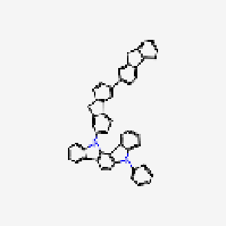 c1ccc(-n2c3ccccc3c3c2ccc2c4ccccc4n(-c4ccc5c(c4)Cc4ccc(-c6ccc7c(c6)Cc6ccccc6-7)cc4-5)c23)cc1